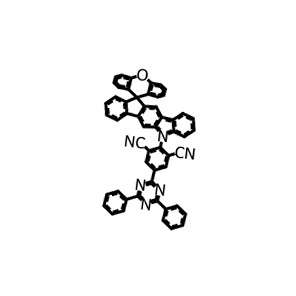 N#Cc1cc(-c2nc(-c3ccccc3)nc(-c3ccccc3)n2)cc(C#N)c1-n1c2ccccc2c2cc3c(cc21)-c1ccccc1C31c2ccccc2Oc2ccccc21